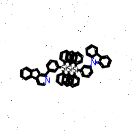 c1ccc([Si](c2ccccc2)(c2cccc(-c3nccc4c3Cc3ccccc3-4)c2)[Si](c2ccccc2)(c2ccccc2)[Si](c2ccccc2)(c2ccccc2)c2cccc(-n3c4ccccc4c4ccccc43)c2)cc1